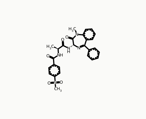 C[C@H](NC(=O)c1ccc(S(C)(=O)=O)cc1)C(=O)N[C@H]1N=C(c2ccccc2)c2ccccc2N(C)C1=O